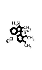 CCc1cccc([C]2([Ti+3])C(C)=C([SiH3])c3ccccc32)c1CC.[Cl-].[Cl-].[Cl-]